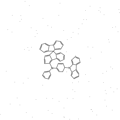 C1=CC(n2c3ccccc3c3ccccc32)CC=C1N(c1ccccc1)c1cccc2c1-c1ccccc1C21c2ccccc2-c2ccccc21